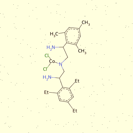 CCc1cc(CC)c(C(N)C[N](CC(N)c2c(C)cc(C)cc2C)[Co]([Cl])[Cl])c(CC)c1